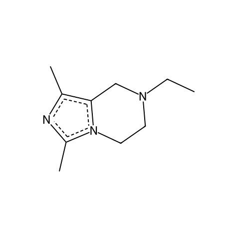 CCN1CCn2c(C)nc(C)c2C1